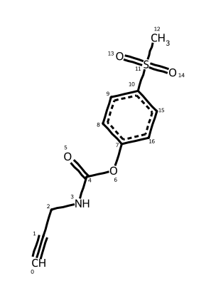 C#CCNC(=O)Oc1ccc(S(C)(=O)=O)cc1